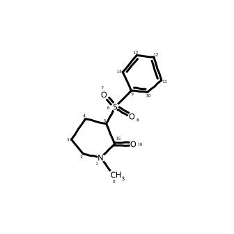 CN1CCCC(S(=O)(=O)c2ccccc2)C1=O